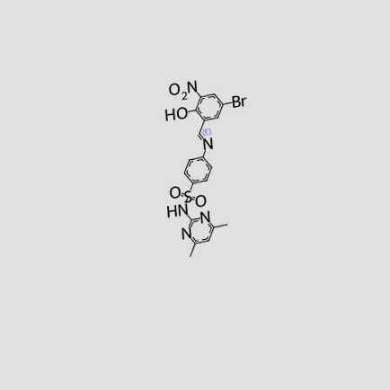 Cc1cc(C)nc(NS(=O)(=O)c2ccc(/N=C/c3cc(Br)cc([N+](=O)[O-])c3O)cc2)n1